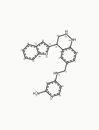 Nc1cc(NCc2ccc3c(c2)C(c2cc4ccccc4o2)CNN3)ccn1